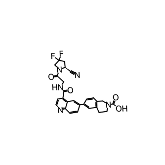 N#C[C@@H]1CC(F)(F)CN1C(=O)CNC(=O)c1ccnc2ccc(-c3ccc4c(c3)CCN(C(=O)O)C4)cc12